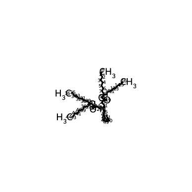 CCCCCCCCC(CCCCCCCC)OC(=O)CCN(CCC(=O)OC(CCCCCCCC)CCCCCCCC)CCN1CCCC1